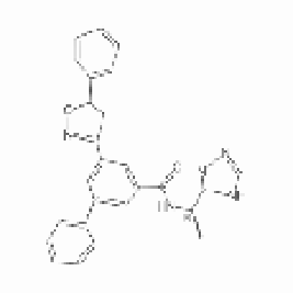 C[C@@H](NC(=O)c1cc(C2=NOC(c3ccccc3)C2)cc(-c2ccccc2)c1)c1nnc[nH]1